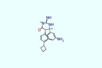 CN1C(=N)N[C@](C)(c2cccc(N)c2)[C@@H](c2ccc(C3CCC3)cc2)C1=O